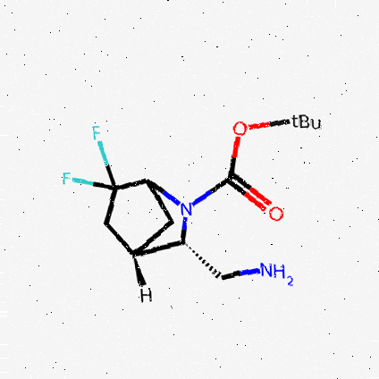 CC(C)(C)OC(=O)N1C2C[C@@H](CC2(F)F)[C@H]1CN